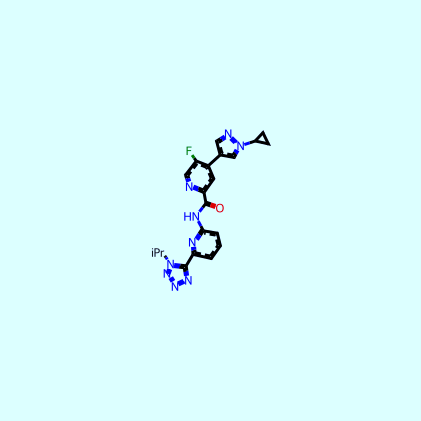 CC(C)n1nnnc1-c1cccc(NC(=O)c2cc(-c3cnn(C4CC4)c3)c(F)cn2)n1